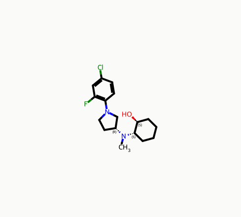 CN([C@@H]1CCN(c2ccc(Cl)cc2F)C1)[C@H]1CCCC[C@@H]1O